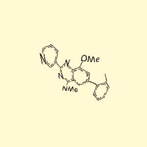 CNc1nc(-c2cccnc2)nc2c(OC)cc(-c3ccccc3C)cc12